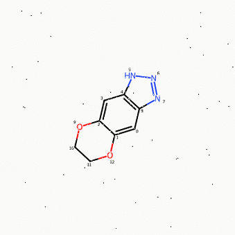 c1c2c(cc3[nH]nnc13)OCCO2